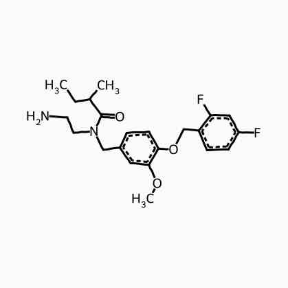 CCC(C)C(=O)N(CCN)Cc1ccc(OCc2ccc(F)cc2F)c(OC)c1